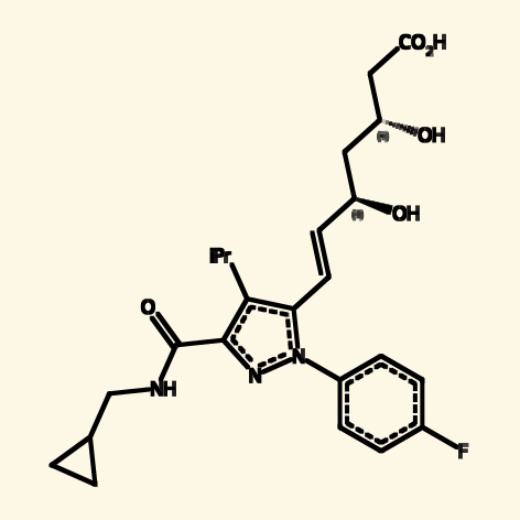 CC(C)c1c(C(=O)NCC2CC2)nn(-c2ccc(F)cc2)c1C=C[C@H](O)C[C@@H](O)CC(=O)O